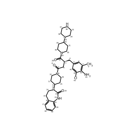 Cc1cc(C[C@@H](CC(=O)N2CCC(N3CCc4ccccc4NC3=O)CC2)C(=O)N2CCC(N3CCNCC3)CC2)cc(Cl)c1N